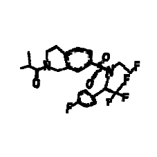 CC(C)C(=O)N1CCc2ccc(S(=O)(=O)N(CCF)C(c3ccc(F)cc3)C(F)(F)F)cc2C1